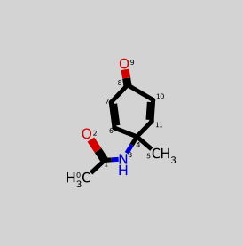 CC(=O)NC1(C)C=CC(=O)C=C1